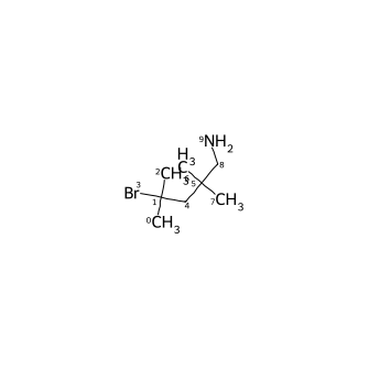 CC(C)(Br)CC(C)(C)CN